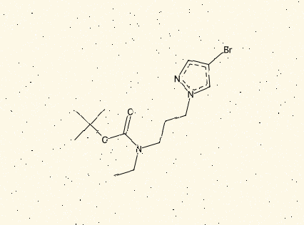 CCN(CCCn1cc(Br)cn1)C(=O)OC(C)(C)C